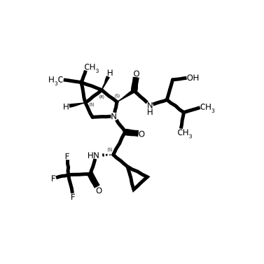 CC(C)C(CO)NC(=O)[C@@H]1[C@@H]2[C@H](CN1C(=O)[C@@H](NC(=O)C(F)(F)F)C1CC1)C2(C)C